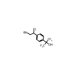 CCC(CC(C)(C)C)c1ccc(C(O)(C(F)(F)F)C(F)(F)F)cc1